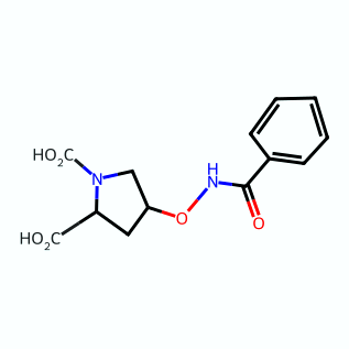 O=C(NOC1CC(C(=O)O)N(C(=O)O)C1)c1ccccc1